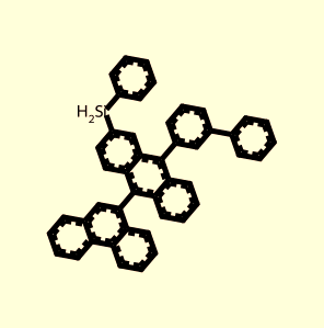 c1ccc([SiH2]c2ccc3c(-c4cc5ccccc5c5ccccc45)c4ccccc4c(-c4cccc(-c5ccccc5)c4)c3c2)cc1